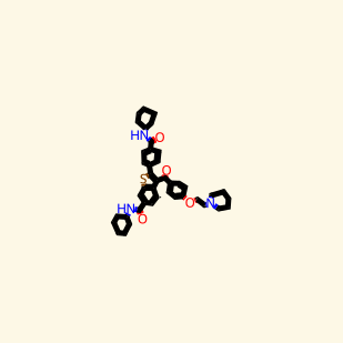 O=C(NC1CCCCC1)c1ccc(-c2sc3cc(C(=O)NC4CCCCC4)c[c]c3c2C(=O)c2ccc(OCCN3CCCCC3)cc2)cc1